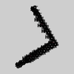 [O]=[Sb]([O-])([O-])[F].[O]=[Sb]([O-])([O-])[F].[O]=[Sb]([O-])([O-])[F].[O]=[Sb]([O-])([O-])[F].[O]=[Sb]([O-])([O-])[F].[O]=[Sb]([O-])([O-])[F].c1ccc2[nH+]cccc2c1.c1ccc2[nH+]cccc2c1.c1ccc2[nH+]cccc2c1.c1ccc2[nH+]cccc2c1.c1ccc2[nH+]cccc2c1.c1ccc2[nH+]cccc2c1.c1ccc2[nH+]cccc2c1.c1ccc2[nH+]cccc2c1.c1ccc2[nH+]cccc2c1.c1ccc2[nH+]cccc2c1.c1ccc2[nH+]cccc2c1.c1ccc2[nH+]cccc2c1